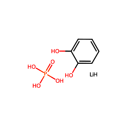 O=P(O)(O)O.Oc1ccccc1O.[LiH]